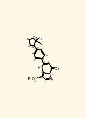 CCOC(=O)c1cnn2c(=O)cc(-c3ccc(C4CCCC4(C)C)cc3)[nH]c12